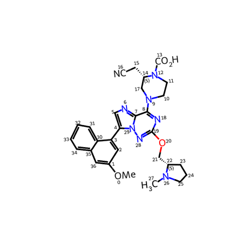 COc1cc(-c2cnc3c(N4CCN(C(=O)O)[C@@H](CC#N)C4)nc(OC[C@@H]4CCCN4C)nn23)c2ccccc2c1